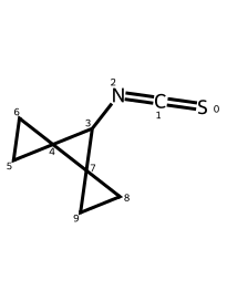 S=C=NC1C2(CC2)C12CC2